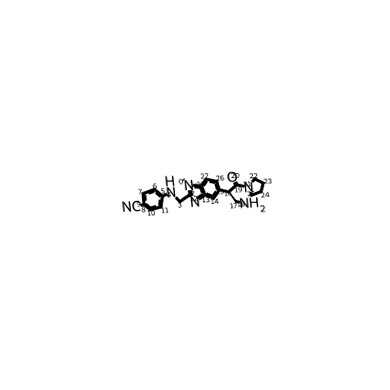 Cn1c(CNc2ccc(C#N)cc2)nc2cc([C@H](CN)C(=O)N3CCCC3)ccc21